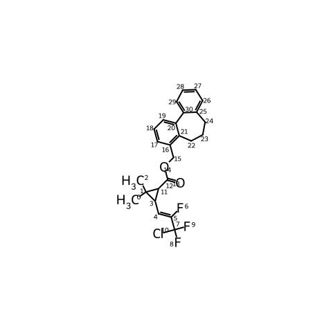 CC1(C)C(C=C(F)C(F)(F)Cl)C1C(=O)OCc1cccc2c1CCCc1ccccc1-2